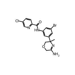 CC1(c2cc(Br)cc(NC(=O)c3ccc(Cl)cn3)c2)COCC(N)=N1